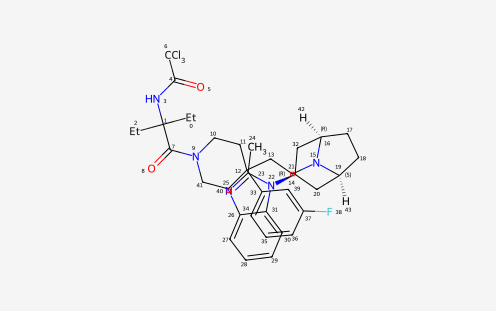 CCC(CC)(NC(=O)C(Cl)(Cl)Cl)C(=O)N1CCC(CCN2[C@@H]3CC[C@H]2C[C@@H](n2c(C)nc4ccccc42)C3)(c2cccc(F)c2)CC1